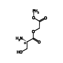 N[C@@H](CO)C(=O)OCC(=O)OP